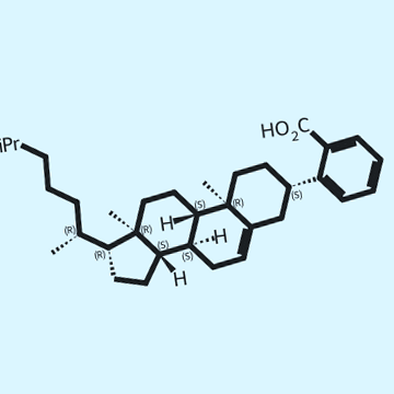 CC(C)CCC[C@@H](C)[C@H]1CC[C@H]2[C@@H]3CC=C4C[C@@H](c5ccccc5C(=O)O)CC[C@]4(C)[C@H]3CC[C@]12C